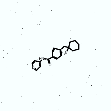 NC1(Cc2ccc(C(=O)Nc3ccncc3)cc2)CCCCC1